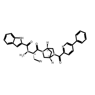 CC(C)C[C@@H](C(=O)N1C[C@@H]2C[C@H]1CN2C(=O)c1ccc(-c2ccccc2)cn1)N(C)C(=O)c1cc2ccccc2[nH]1